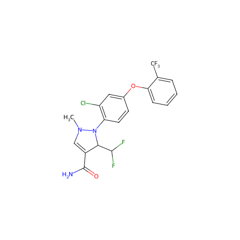 CN1C=C(C(N)=O)C(C(F)F)N1c1ccc(Oc2ccccc2C(F)(F)F)cc1Cl